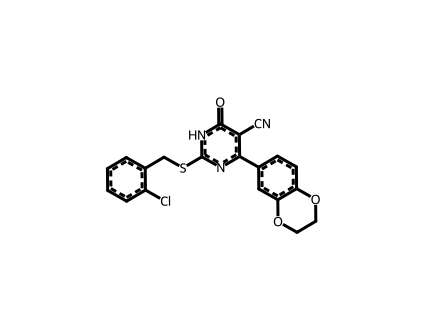 N#Cc1c(-c2ccc3c(c2)OCCO3)nc(SCc2ccccc2Cl)[nH]c1=O